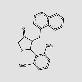 COc1cccc(OC)c1C1SCC(=O)N1Cc1cccc2ccccc12